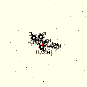 CCOc1cc(C(C)(C)C)ccc1C1=N[C@@](C)(c2ccc(Cl)cc2)[C@@](C)(c2ccc(Cl)cc2)N1C(=O)N1CCN(CCC[Si](C)(C)O)CC1